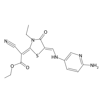 CCOC(=O)C(C#N)=c1sc(=CNc2ccc(N)nc2)c(=O)n1CC